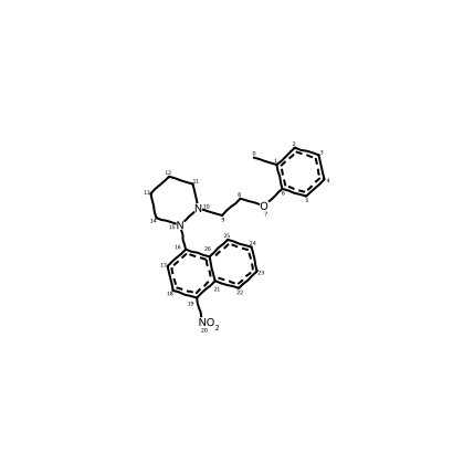 Cc1ccccc1OCCN1CCCCN1c1ccc([N+](=O)[O-])c2ccccc12